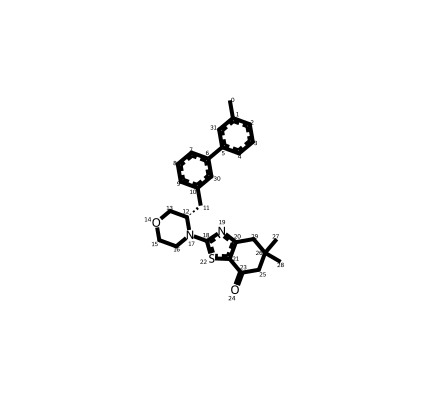 Cc1cccc(-c2cccc(C[C@H]3COCCN3c3nc4c(s3)C(=O)CC(C)(C)C4)c2)c1